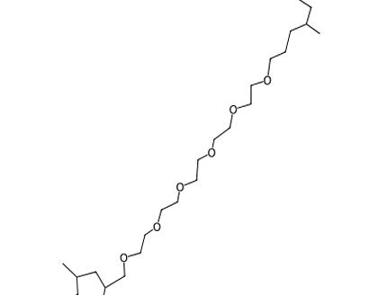 CCC(C)CCCOCCOCCOCCOCCOCCOCC(C)CC(C)CC